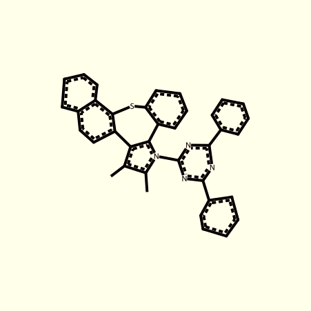 Cc1c2c(n(-c3nc(-c4ccccc4)nc(-c4ccccc4)n3)c1C)-c1ccccc1Sc1c-2ccc2ccccc12